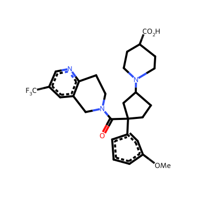 COc1cccc(C2(C(=O)N3CCc4ncc(C(F)(F)F)cc4C3)CCC(N3CCC(C(=O)O)CC3)C2)c1